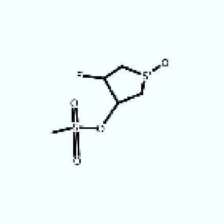 CS(=O)(=O)OC1C[S+]([O-])CC1F